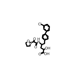 O=C(NC(Cc1ccc(-c2cccc(Cl)c2)cc1)CC(O)C(=O)O)C(=O)N1CCCO1